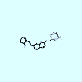 COC(CSc1ccc2ccc(C=Cc3ccccc3F)cc2n1)OC